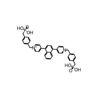 O=P(O)(O)Cc1ccc(C[n+]2ccc(-c3ccc(-c4cc[n+](Cc5ccc(CP(=O)(O)O)cc5)cc4)c4ccccc34)cc2)cc1